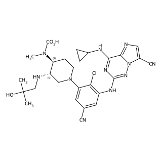 CN(C(=O)O)[C@H]1CCN(c2cc(C#N)cc(Nc3nc(NC4CC4)c4ncc(C#N)n4n3)c2Cl)C[C@@H]1NCC(C)(C)O